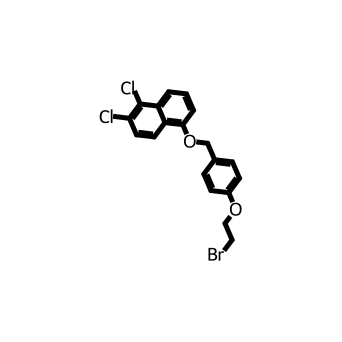 Clc1ccc2c(OCc3ccc(OCCBr)cc3)cccc2c1Cl